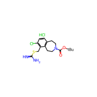 CC(C)(C)OC(=O)N1CCc2ccc(Cl)c(CSC(=N)N)c2CC1.Cl